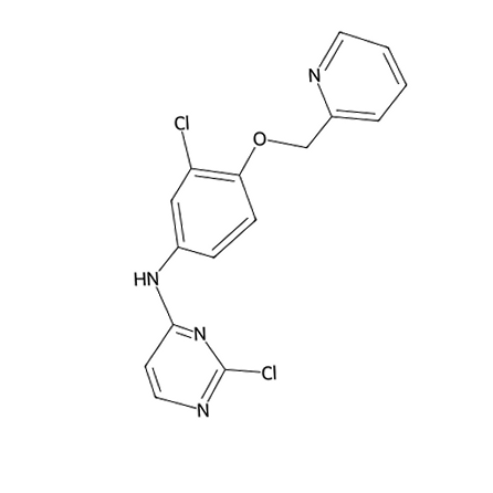 Clc1nccc(Nc2ccc(OCc3ccccn3)c(Cl)c2)n1